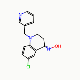 ON=C1CCN(Cc2cccnc2)c2ccc(Cl)cc21